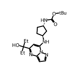 CCC(O)(CC)c1cc(N[C@H]2CC[C@H](NC(=O)OC(C)(C)C)C2)n2nccc2n1